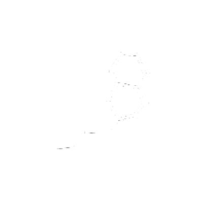 ICOCc1ccc2ccccc2c1